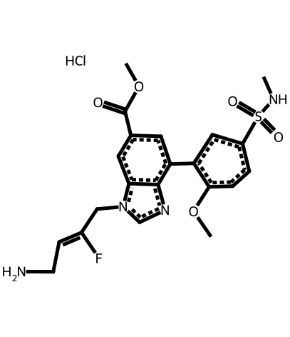 CNS(=O)(=O)c1ccc(OC)c(-c2cc(C(=O)OC)cc3c2ncn3CC(F)=CCN)c1.Cl